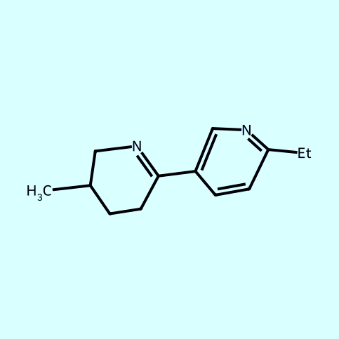 CCc1ccc(C2=NCC(C)CC2)cn1